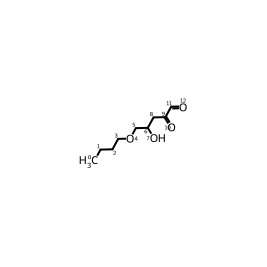 CCCCOCC(O)CC(=O)C=O